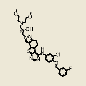 COCCN(CCOC)C[C@@H](O)Cn1cc2c(n1)CCc1c-2sc2ncnc(Nc3ccc(OCc4cccc(F)c4)c(Cl)c3)c12